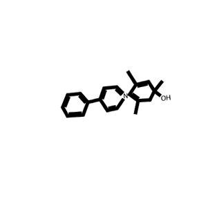 CC1=CC(C)(O)CC(C)=C1.c1ccc(-c2ccncc2)cc1